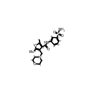 Cc1oc(C(C)(C)C)c(CN2CCOCC2)c1C(=O)Nc1cccc(S(N)(=O)=O)c1